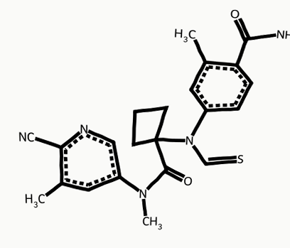 Cc1cc(N(C=S)C2(C(=O)N(C)c3cnc(C#N)c(C)c3)CCC2)ccc1C(N)=O